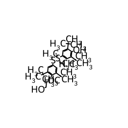 CCS(C)(Sc1cc(C(C)(C)C)c(OCCO)c(C(C)(C)C)c1)c1cc(C(C)(C)C)c(O)c(C(C)(C)C)c1